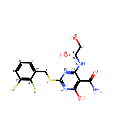 NC(=O)c1c(O)nc(SCc2cccc(F)c2F)nc1N[C@H](O)CO